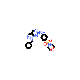 O=S(=O)(c1ccc(Nc2ncc3cnn(CC4CCCCC4)c3n2)cc1)N1CCOCC1